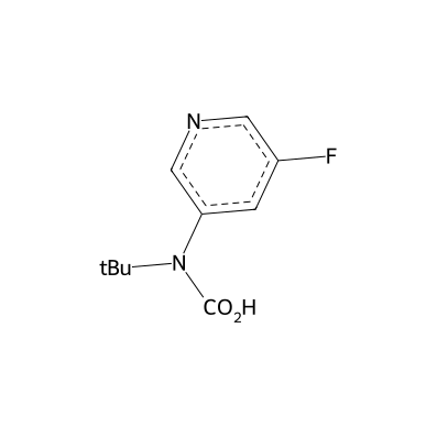 CC(C)(C)N(C(=O)O)c1cncc(F)c1